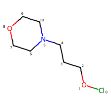 ClOCCCN1CCOCC1